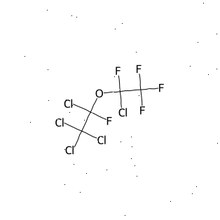 FC(F)(F)C(F)(Cl)OC(F)(Cl)C(Cl)(Cl)Cl